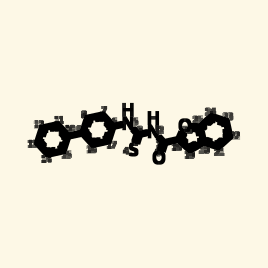 O=C(NC(=S)Nc1ccc(-c2ccccc2)cc1)c1cc2ccccc2o1